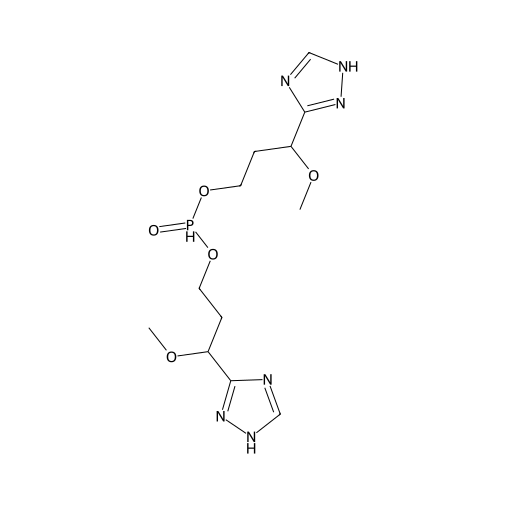 COC(CCO[PH](=O)OCCC(OC)c1nc[nH]n1)c1nc[nH]n1